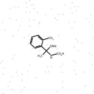 COC(C)(NC(=O)O)c1ccccc1C